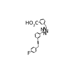 O=C(O)c1cccc(Cn2nnc(-c3cccc(C#CCc4ccc(F)cc4)c3)n2)c1